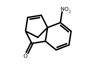 O=C1C2C=CC3(C2)C([N+](=O)[O-])=CC=CC13